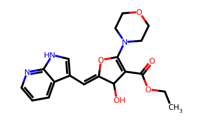 CCOC(=O)C1=C(N2CCOCC2)O/C(=C\c2c[nH]c3ncccc23)C1O